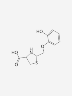 O=C(O)C1CSC(COc2ccccc2O)N1